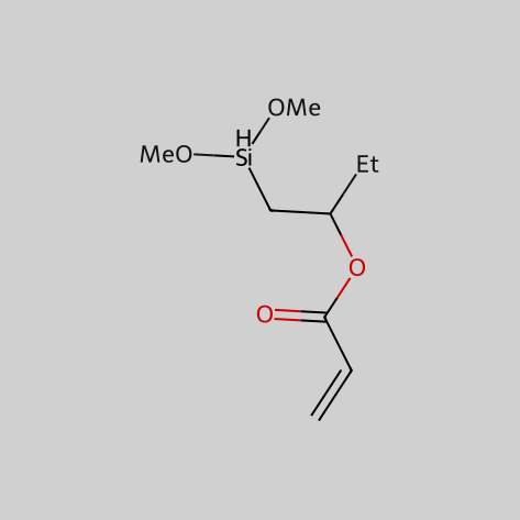 C=CC(=O)OC(CC)C[SiH](OC)OC